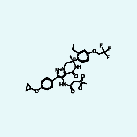 CCc1cc(OCC(F)(F)F)ccc1[C@@]1(C)Cn2nc(-c3ccc(OC4CC4)cc3)c(NC(=O)CS(C)(=O)=O)c2C(=O)N1